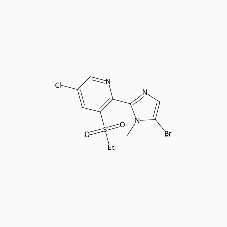 CCS(=O)(=O)c1cc(Cl)cnc1-c1ncc(Br)n1C